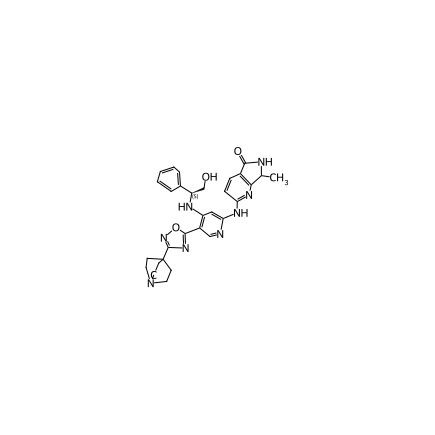 CC1NC(=O)c2ccc(Nc3cc(N[C@H](CO)c4ccccc4)c(-c4nc(C56CCN(CC5)CC6)no4)cn3)nc21